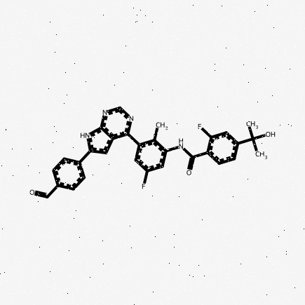 Cc1c(NC(=O)c2ccc(C(C)(C)O)cc2F)cc(F)cc1-c1ncnc2[nH]c(-c3ccc(C=O)cc3)cc12